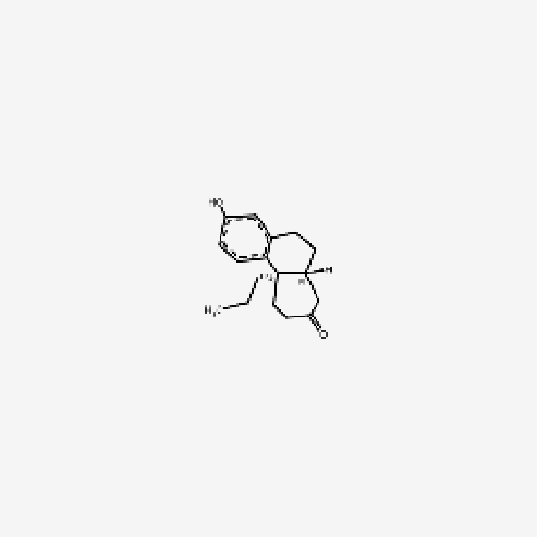 CCC[C@@]12CCC(=O)C[C@H]1CCc1cc(O)ccc12